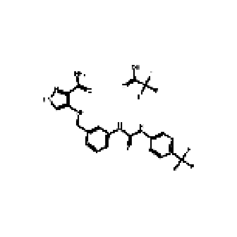 NC(=O)c1n[nH]cc1NCc1cccc(NC(=O)Nc2ccc(C(F)(F)F)cc2)c1.O=C(O)C(F)(F)F